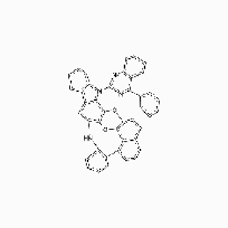 c1ccc(-c2nc(-n3c4ccccc4c4cc5c6c(c43)Oc3ccc4cccc(c4c3O6)-c3ccccc3N5)nc3ccccc23)cc1